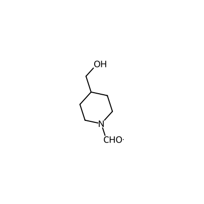 O=[C]N1CCC(CO)CC1